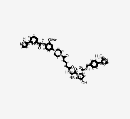 COc1cc(N2CCN(C(=O)CCCC(=O)N[C@H](C(=O)N3C[C@H](O)C[C@H]3C(=O)NCc3ccc(-c4scnc4C)cc3)C(C)(C)C)CC2)ccc1NC(=O)c1cccc(-c2ccn[nH]2)n1